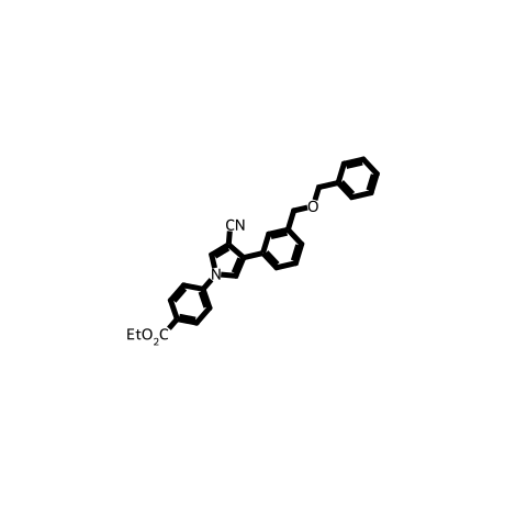 CCOC(=O)c1ccc(-n2cc(C#N)c(-c3cccc(COCc4ccccc4)c3)c2)cc1